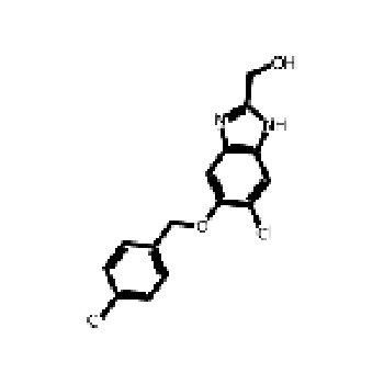 OCc1nc2cc(OCc3ccc(Cl)cc3)c(Cl)cc2[nH]1